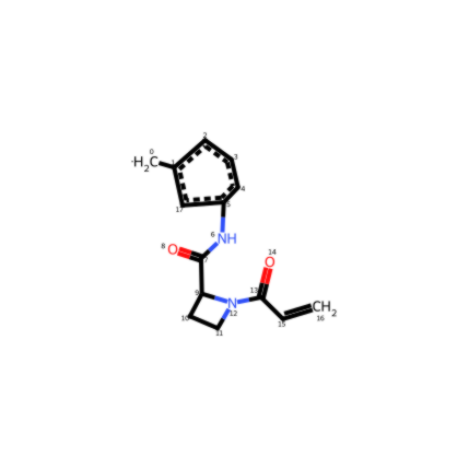 [CH2]c1cccc(NC(=O)C2CCN2C(=O)C=C)c1